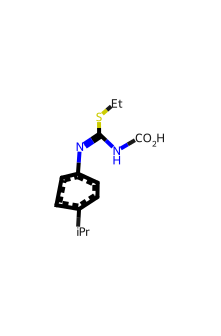 CCS/C(=N/c1ccc(C(C)C)cc1)NC(=O)O